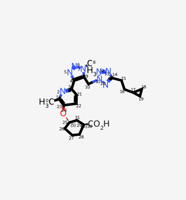 Cc1nc(-c2nnn(C)c2Cn2nnc(CCC3CC3)n2)ccc1O[C@H]1CCC[C@H](C(=O)O)C1